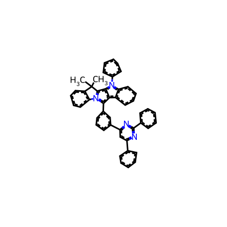 CC1(C)c2ccccc2-n2c(-c3cccc(-c4cc(-c5ccccc5)nc(-c5ccccc5)n4)c3)c3c4ccccc4n(-c4ccccc4)c3c21